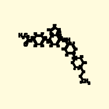 CCCN1CCN(c2ccc(Nc3ccc(-c4ccc(C(C)=O)cc4)n4ccnc34)cc2)CC1